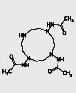 CC(=O)NN1CCNCCN(NC(C)=O)CCN(NC(C)=O)CC1